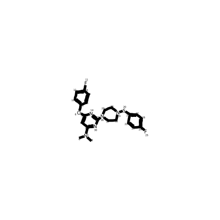 CN(C)c1cc(Oc2ccc(F)cc2)nc(N2CCN(Sc3ccc(F)cc3)CC2)n1